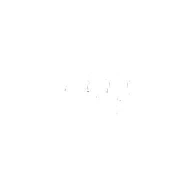 CC(=O)CC(=O)Oc1ccccc1C(=O)O